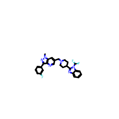 Cn1nc(-c2cccc(F)c2)c2ncc(CN3CCC(c4nc5ccccc5n4C(F)F)CC3)cc21